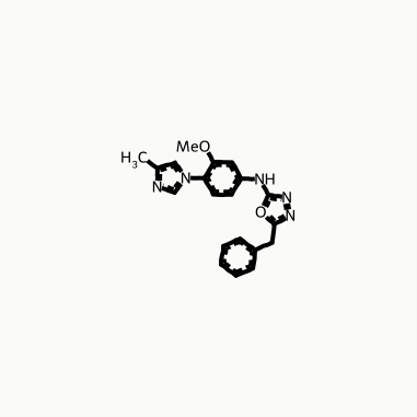 COc1cc(Nc2nnc(Cc3ccccc3)o2)ccc1-n1cnc(C)c1